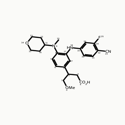 COCC(CC(=O)O)c1ccc(N(C)C2CCOCC2)c(Nc2ccc(C#N)c(F)c2)c1